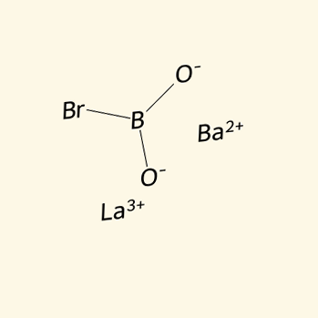 [Ba+2].[La+3].[O-]B([O-])Br